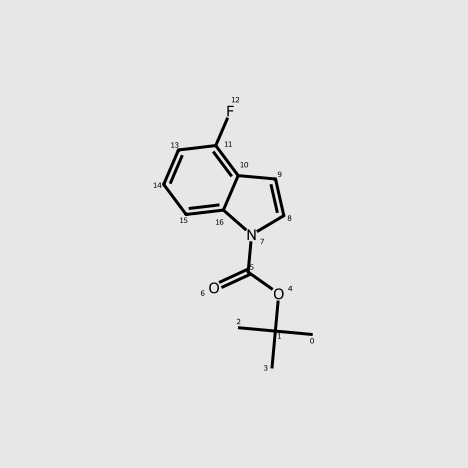 CC(C)(C)OC(=O)n1ccc2c(F)cccc21